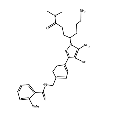 COc1ccccc1C(=O)NCC1=CC=C(c2nn(C(CCCN)CCC(=O)N(C)C)c(N)c2C(C)=O)CC1